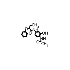 CCC(Oc1ccccc1)C(=O)Nc1ccc(NC(C)=O)c(O)c1